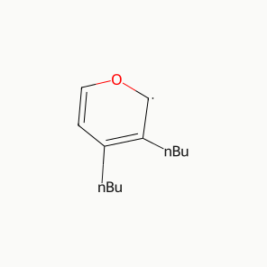 CCCCC1=C(CCCC)C=CO[CH]1